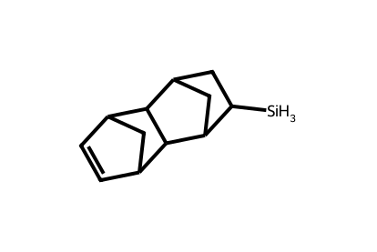 [SiH3]C1CC2CC1C1C3C=CC(C3)C21